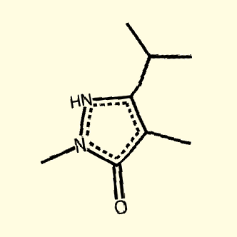 Cc1c(C(C)C)[nH]n(C)c1=O